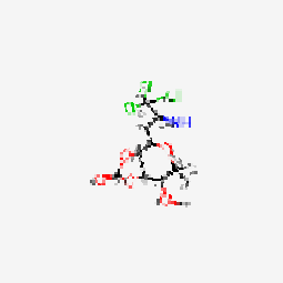 COC1C2OC(=O)OC2C(CC(=N)C(Cl)(Cl)Cl)OC1(C)C